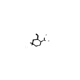 COC(OC)C1CCC(C)(C)CC1C=O